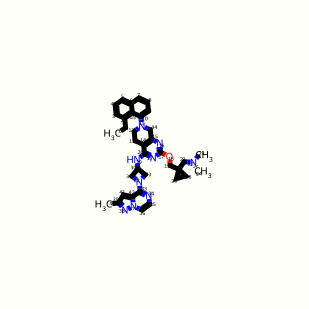 CCc1cccc2cccc(N3CCc4c(nc(OCC5(CN(C)C)CC5)nc4NC4CN(c5nccn6nc(C)cc56)C4)C3)c12